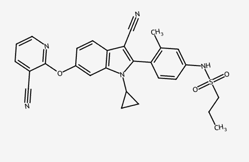 CCCS(=O)(=O)Nc1ccc(-c2c(C#N)c3ccc(Oc4ncccc4C#N)cc3n2C2CC2)c(C)c1